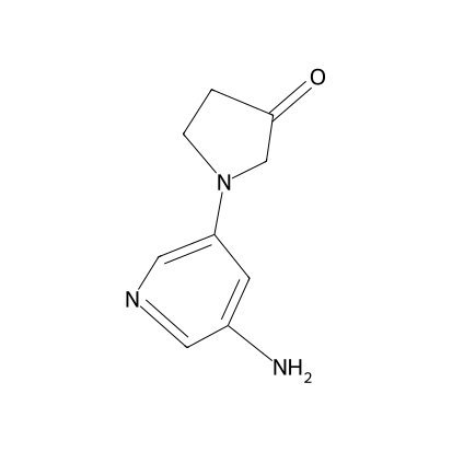 Nc1cncc(N2CCC(=O)C2)c1